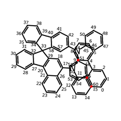 c1ccc(-c2ccccc2N(c2ccccc2)c2cc3c(c4ccccc24)-c2ccccc2C32c3ccccc3-c3ccc(N(c4ccccc4)c4ccccc4)cc32)cc1